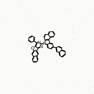 c1ccc(-c2nc(-n3c4ccc(-c5ccc6ccccc6c5)cc4c4c5ccccc5ccc43)nc3c2oc2cc4ccccc4cc23)cc1